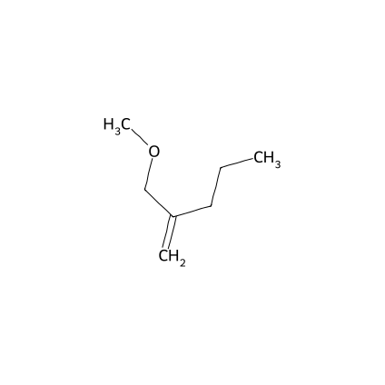 C=C(CCC)COC